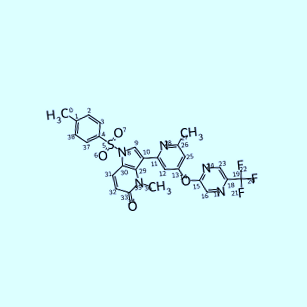 Cc1ccc(S(=O)(=O)n2cc(-c3cc(Oc4cnc(C(F)(F)F)cn4)cc(C)n3)c3c2ccc(=O)n3C)cc1